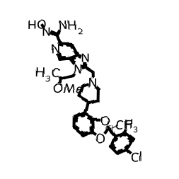 COC(C)Cn1c(CN2CCC(c3cccc4c3O[C@@](C)(c3ccc(Cl)cc3F)O4)CC2)nc2cc(C(N)=NO)ncc21